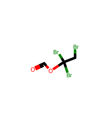 O=[C]OC(Br)(Br)CBr